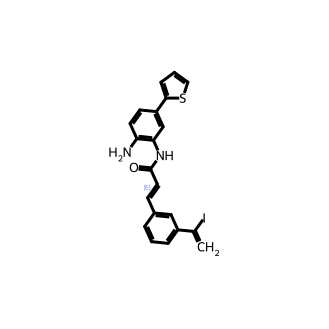 C=C(I)c1cccc(/C=C/C(=O)Nc2cc(-c3cccs3)ccc2N)c1